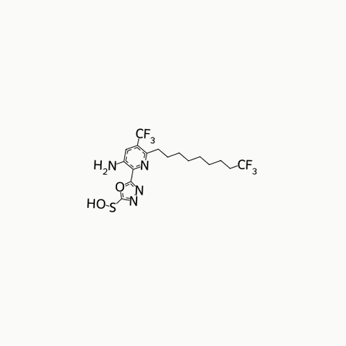 Nc1cc(C(F)(F)F)c(CCCCCCCCC(F)(F)F)nc1-c1nnc(SO)o1